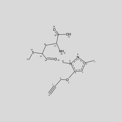 C#CCOc1cc(C)nn1C.CSC(C=O)CC(N)C(=O)O